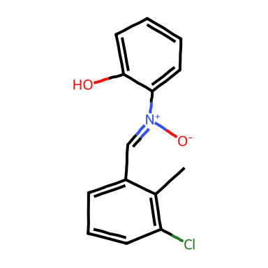 Cc1c(Cl)cccc1C=[N+]([O-])c1ccccc1O